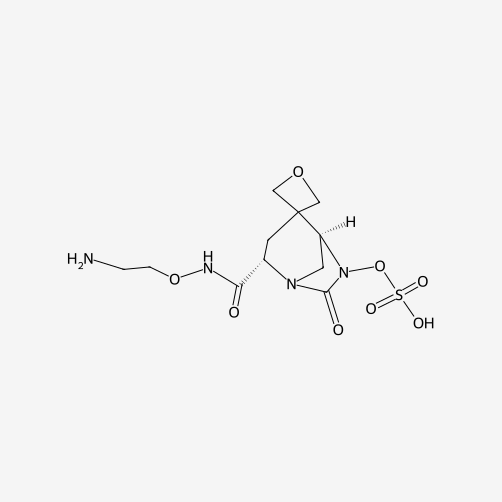 NCCONC(=O)[C@@H]1CC2(COC2)[C@@H]2CN1C(=O)N2OS(=O)(=O)O